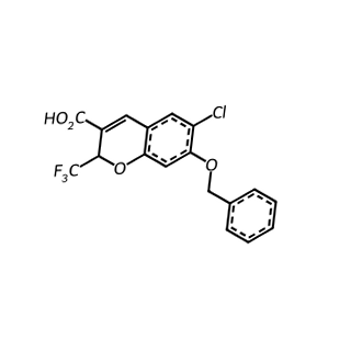 O=C(O)C1=Cc2cc(Cl)c(OCc3ccccc3)cc2OC1C(F)(F)F